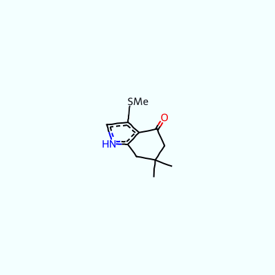 CSc1c[nH]c2c1C(=O)CC(C)(C)C2